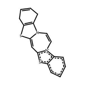 C1=CCC2=C(C1)SC1=Cc3sc4ccccc4[n+]3C=CN12